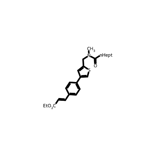 CCCCCCCC(=O)N(C)Cc1cc(-c2ccc(/C=C/C(=O)OCC)cc2)cs1